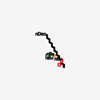 C=CC(=O)OCCC(CCCCCCCCCCCCCCCCCCC)[P+](CCCC)(CCCC)CCCC.[Cl-]